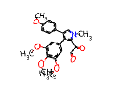 COc1ccc(-c2cn(C)c(C(=O)C=O)c2-c2cc(OC)c(OC)c(OC)c2)cc1